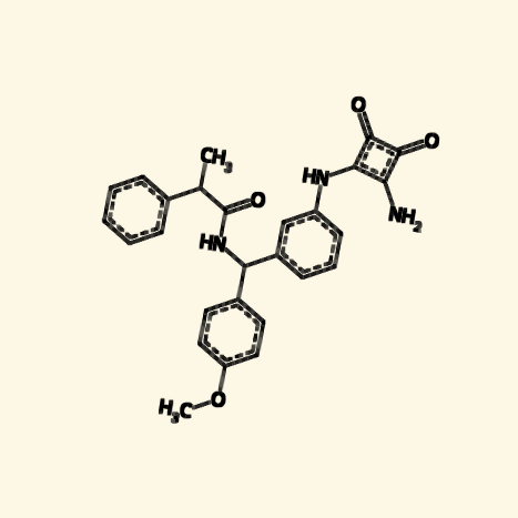 COc1ccc(C(NC(=O)C(C)c2ccccc2)c2cccc(Nc3c(N)c(=O)c3=O)c2)cc1